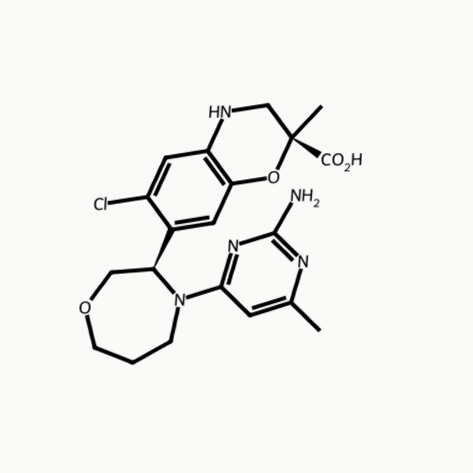 Cc1cc(N2CCCOC[C@H]2c2cc3c(cc2Cl)NC[C@@](C)(C(=O)O)O3)nc(N)n1